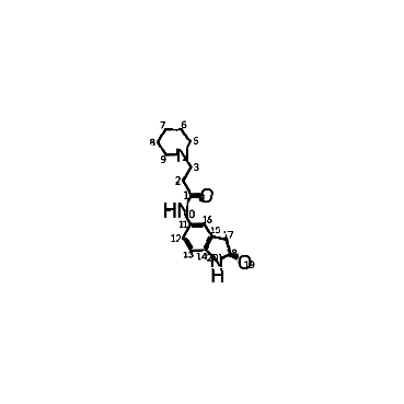 O=C(CCN1CCCCC1)Nc1ccc2c(c1)CC(=O)N2